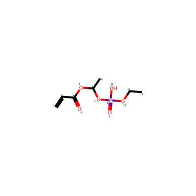 C=CC(=O)OC(C)OP(=O)(O)OCC